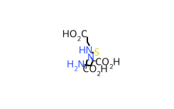 N[C@@]1(C(=O)O)C[C@H](C(=O)O)N(C(=S)NCCCC(=O)O)C1